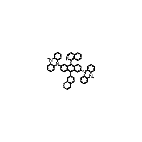 CN1c2ccccc2N(c2ccc3c(-c4nccc5ccccc45)c4cc(N5c6ccccc6N(C)c6ccccc65)ccc4c(-c4ccc5c(c4)CCC=C5)c3c2)c2ccccc21